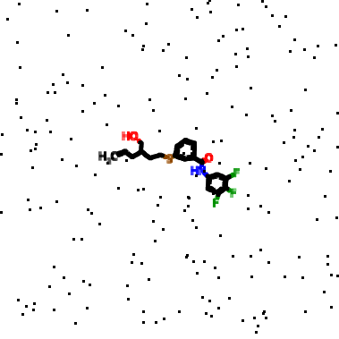 C=CCC(CO)CCSc1cccc(C(=O)Nc2cc(F)c(F)c(F)c2)c1